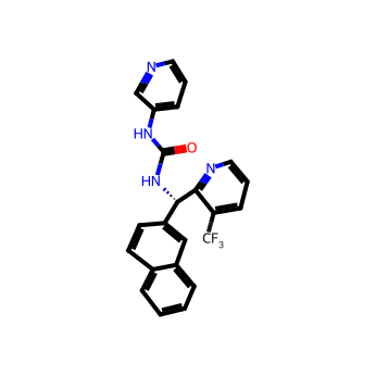 O=C(Nc1cccnc1)N[C@@H](c1ccc2ccccc2c1)c1ncccc1C(F)(F)F